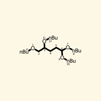 CCCCOCC(CCC(OCCCC)OCCCC)OCCCC